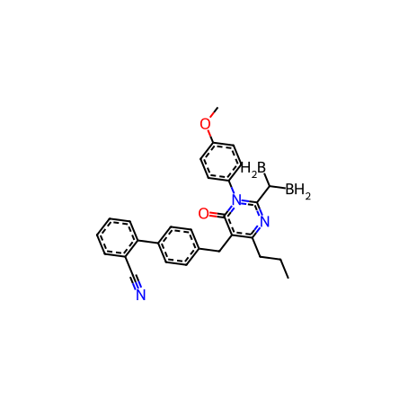 BC(B)c1nc(CCC)c(Cc2ccc(-c3ccccc3C#N)cc2)c(=O)n1-c1ccc(OC)cc1